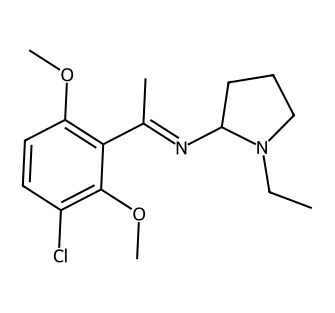 CCN1CCCC1/N=C(\C)c1c(OC)ccc(Cl)c1OC